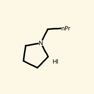 CCCCN1CCCC1.I